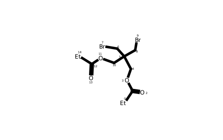 CCC(=O)OCC(CBr)(CBr)COC(=O)CC